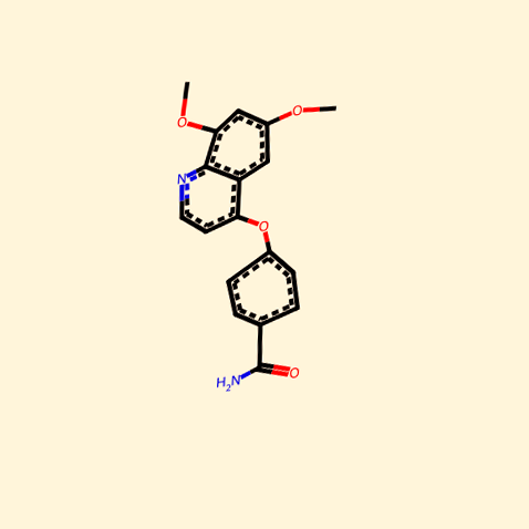 COc1cc(OC)c2nccc(Oc3ccc(C(N)=O)cc3)c2c1